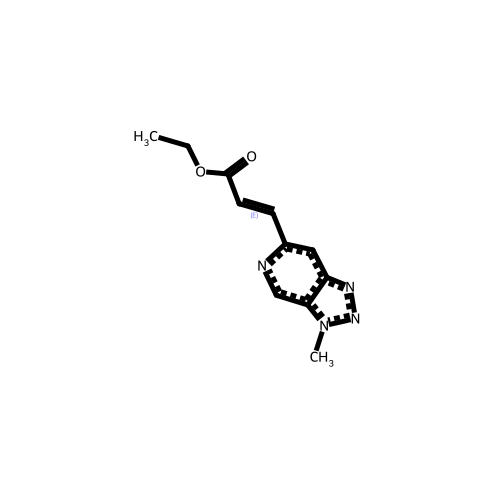 CCOC(=O)/C=C/c1cc2nnn(C)c2cn1